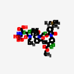 C=CCN(CC=C)C(=O)C(Cl)Cl.CCOC(=O)/C(Cl)=C/c1cc(N2C(=O)C3=C(CCCC3)C2=O)ccc1Cl.CCc1cccc(CC)c1N(COC)C(=O)CCl.C[S+](C)C.O=C(O)CNCP(=O)([O-])O